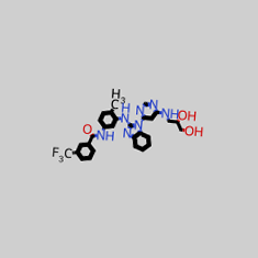 Cc1ccc(NC(=O)c2cccc(C(F)(F)F)c2)cc1Nc1nc2ccccc2n1-c1cc(NCC(O)CO)ncn1